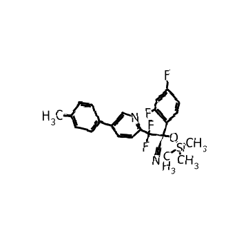 Cc1ccc(-c2ccc(C(F)(F)[C@@](C#N)(O[Si](C)(C)C)c3ccc(F)cc3F)nc2)cc1